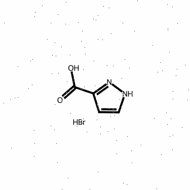 Br.O=C(O)c1cc[nH]n1